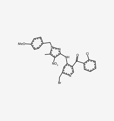 COc1ccc(Cn2nc(Nc3cc(CBr)ncc3C(=O)c3ccccc3Cl)c([N+](=O)[O-])c2C)cc1